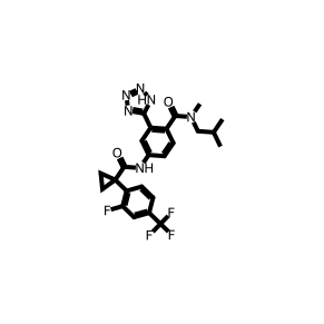 CC(C)CN(C)C(=O)c1ccc(NC(=O)C2(c3ccc(C(F)(F)F)cc3F)CC2)cc1-c1nnn[nH]1